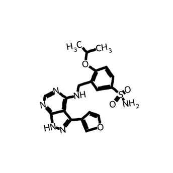 CC(C)Oc1ccc(S(N)(=O)=O)cc1CNc1ncnc2[nH]nc(-c3ccoc3)c12